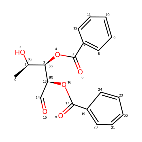 C[C@@H](O)[C@@H](OC(=O)c1ccccc1)[C@H](C=O)OC(=O)c1ccccc1